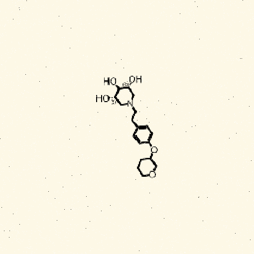 OC1[C@H](O)CN(CCc2ccc(OC3CCCOC3)cc2)C[C@@H]1O